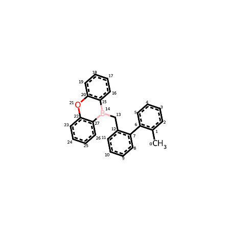 Cc1ccccc1-c1ccccc1CB1c2ccccc2Oc2ccccc21